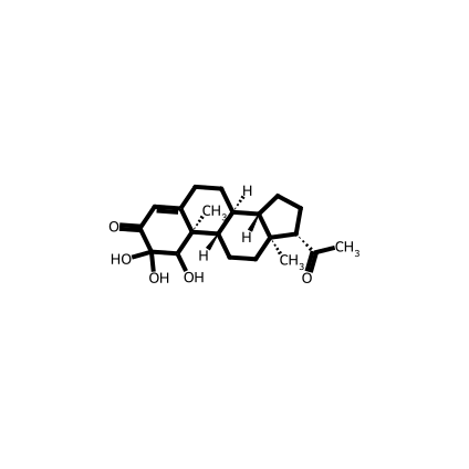 CC(=O)[C@H]1CC[C@H]2[C@@H]3CCC4=CC(=O)C(O)(O)C(O)[C@]4(C)[C@H]3CC[C@]12C